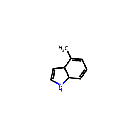 CC1=CC=CC2NC=CC12